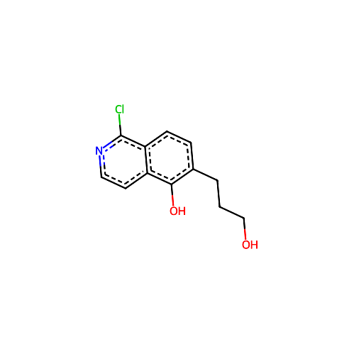 OCCCc1ccc2c(Cl)nccc2c1O